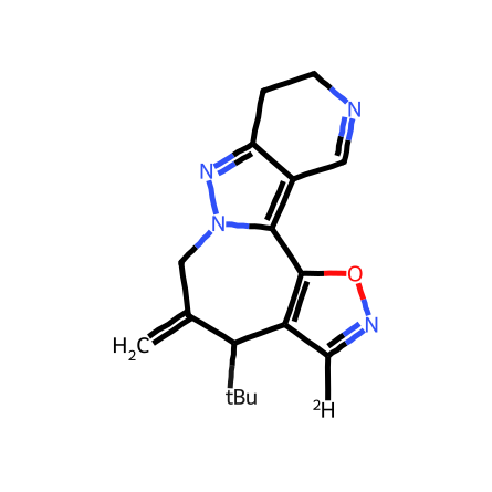 [2H]c1noc2c1C(C(C)(C)C)C(=C)Cn1nc3c(c1-2)C=NCC3